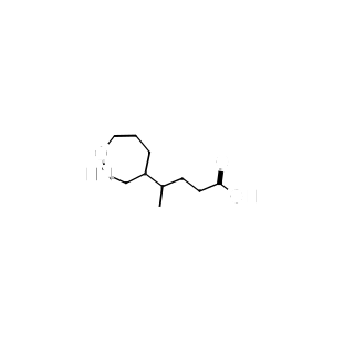 CC(CCC(=O)O)C1CCCONC1